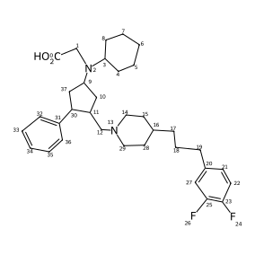 O=C(O)CN(C1CCCCC1)C1CC(CN2CCC(CCCc3ccc(F)c(F)c3)CC2)C(c2ccccc2)C1